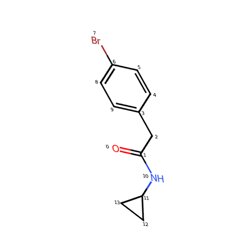 O=C(Cc1ccc(Br)cc1)NC1CC1